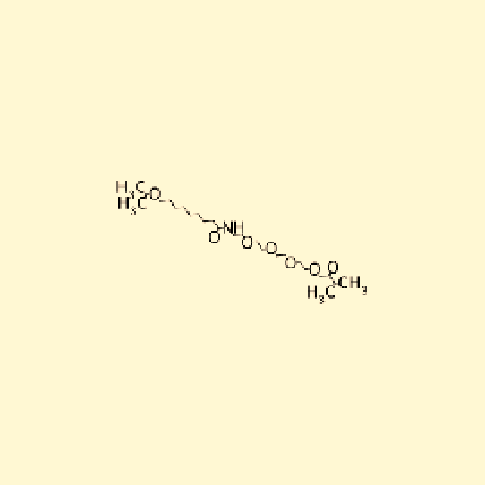 CC(C)OCCCCCCCCC(=O)NCCOCCOCCOCCOCC(=O)C(C)C